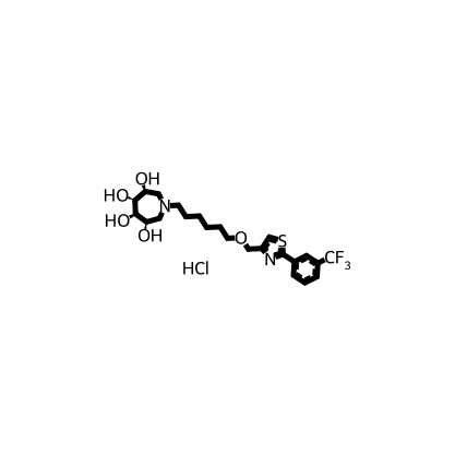 Cl.O[C@H]1[C@H](O)[C@@H](O)CN(CCCCCCOCc2csc(-c3cccc(C(F)(F)F)c3)n2)C[C@@H]1O